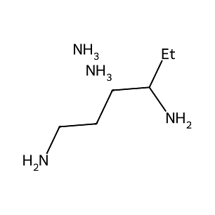 CCC(N)CCCN.N.N